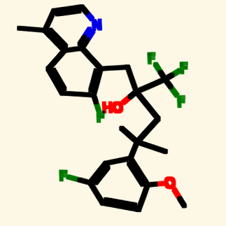 COc1ccc(F)cc1C(C)(C)CC(O)(Cc1c(F)ccc2c(C)ccnc12)C(F)(F)F